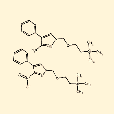 C[Si](C)(C)CCOCn1cc(-c2ccccc2)c(N)n1.C[Si](C)(C)CCOCn1cc(-c2ccccc2)c([N+](=O)[O-])n1